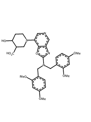 COc1ccc(CN(Cc2ccc(OC)cc2OC)c2nc3cncc(N4CCC(O)C(C(=O)O)C4)c3o2)c(OC)c1